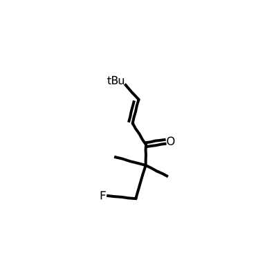 CC(C)(C)/C=C/C(=O)C(C)(C)CF